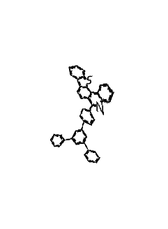 c1ccc(-c2cc(-c3ccccc3)cc(-c3ccc(-c4nc5ccccc5c5c4ccc4c6ccccc6sc45)cc3)c2)cc1